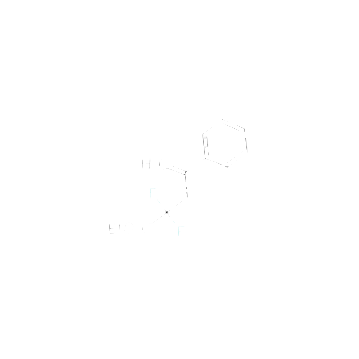 C=C(CC(F)(F)C(=O)OCC)c1ccccc1